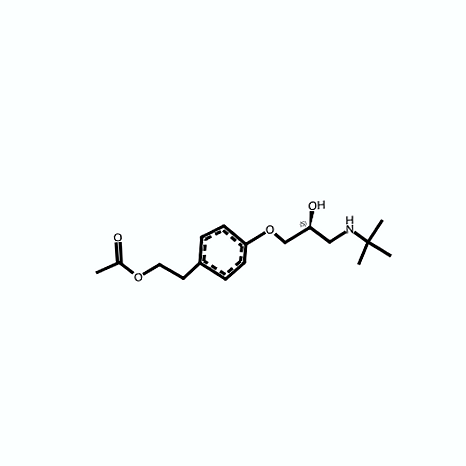 CC(=O)OCCc1ccc(OC[C@@H](O)CNC(C)(C)C)cc1